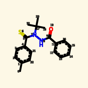 Cc1ccc(C(=S)N(NC(=O)c2ccccc2)C(C)(C)C)cc1